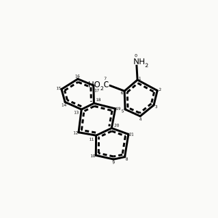 Nc1ccccc1C(=O)O.c1ccc2cc3ccccc3cc2c1